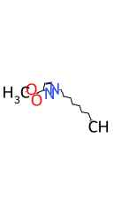 C#CCCCCCCCn1ccc(C(=O)OC)n1